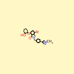 Cn1cc(-c2ccc(CN3Cc4c(Br)ccc(O[C@@H]5CCCC[C@H]5O)c4C3=O)cc2)cn1